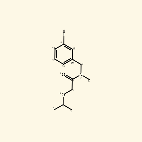 CC(C)OCC(=O)N(C)Cc1cccc(F)c1